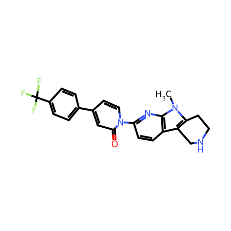 Cn1c2c(c3ccc(-n4ccc(-c5ccc(C(F)(F)F)cc5)cc4=O)nc31)CNCC2